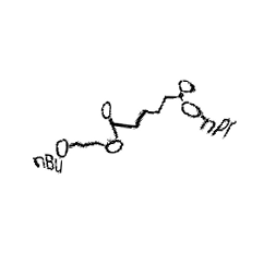 CCCCOCCOC(=O)CCCCC(=O)OCCC